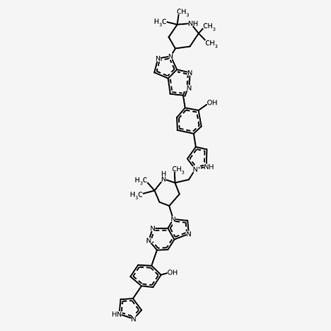 CC1(C)CC(n2ncc3cc(-c4ccc(-c5c[nH][n+](CC6(C)CC(n7cnc8cc(-c9ccc(-c%10cn[nH]c%10)cc9O)nnc87)CC(C)(C)N6)c5)cc4O)nnc32)CC(C)(C)N1